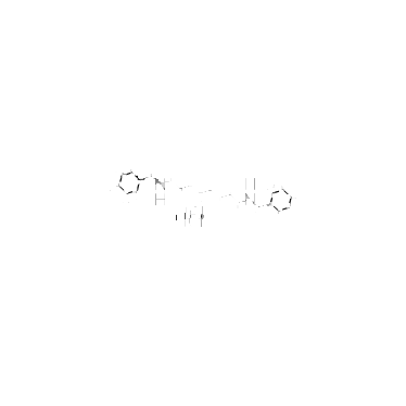 Cl.Cl.c1ccc(CNCCCCCCCCNCc2ccccc2)cc1